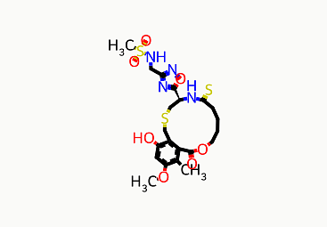 COc1cc(O)c2c(c1C)C(=O)OCCCCC(=S)N[C@H](c1nc(CNS(C)(=O)=O)no1)CSC2